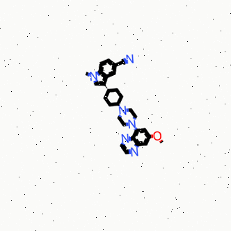 COc1cc(N2CCN([C@H]3CC[C@@H](c4cn(C)c5ccc(C#N)cc54)CC3)CC2)c2nccnc2c1